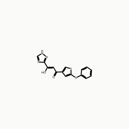 O=C(C=C(O)c1nc[nH]n1)c1csc(Sc2ccccc2)c1